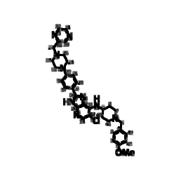 COc1ccc(CN2CCC(Nc3c(Cl)cnc4[nH]c(-c5ccc(N6CCN(Cc7cnccn7)CC6)cc5)nc34)CC2)cc1